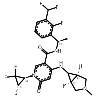 C[C@@H](NC(=O)c1cn([C@H]2[C@H](C)C2(F)F)c(=O)cc1NC1[C@H]2CN(C)C[C@@H]12)c1cccc(C(F)F)c1F